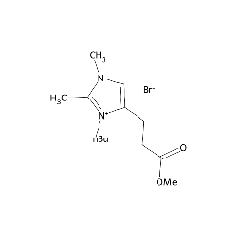 CCCC[n+]1c(CCC(=O)OC)cn(C)c1C.[Br-]